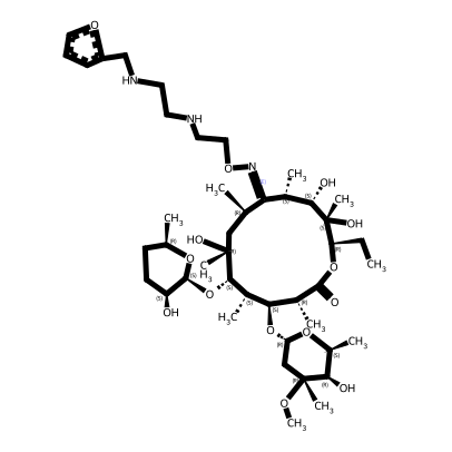 CC[C@H]1OC(=O)[C@H](C)[C@@H](O[C@H]2C[C@@](C)(OC)[C@H](O)[C@H](C)O2)[C@H](C)[C@H](O[C@@H]2O[C@H](C)CC[C@@H]2O)[C@](C)(O)C[C@@H](C)/C(=N\OCCNCCNCc2ccco2)[C@H](C)[C@H](O)[C@]1(C)O